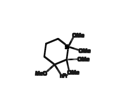 CCCC1(OC)CCC[Si](OC)(OC)C1(OC)OC